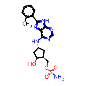 Cc1ccccc1-c1nc2c(N[C@@H]3C[C@@H](COS(N)(=O)=O)[C@@H](O)C3)ncnc2[nH]1